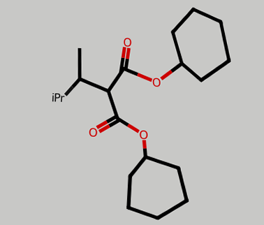 CC(C)C(C)C(C(=O)OC1CCCCC1)C(=O)OC1CCCCC1